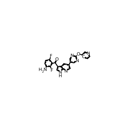 Nc1ccc(F)c(C(=O)c2c[nH]c3ncc(-c4cnc(Oc5cccnc5)nc4)cc23)c1F